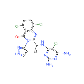 CCC(Nc1nc(N)nc(N)c1Cl)c1nc2c(Cl)ccc(Cl)c2c(=O)n1-c1cc[nH]n1